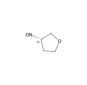 O=N[C@H]1CCOC1